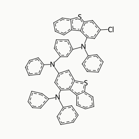 Clc1cc(N(c2ccccc2)c2cccc(N(c3ccccc3)c3cc(N(c4ccccc4)c4ccccc4)c4c(c3)sc3ccccc34)c2)c2c(c1)sc1ccccc12